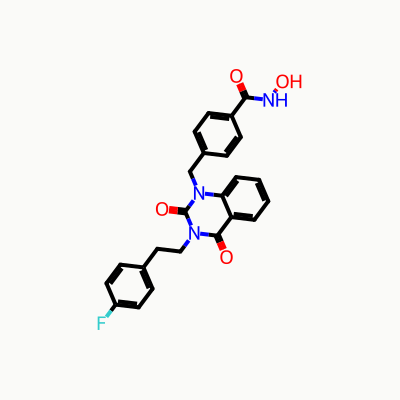 O=C(NO)c1ccc(Cn2c(=O)n(CCc3ccc(F)cc3)c(=O)c3ccccc32)cc1